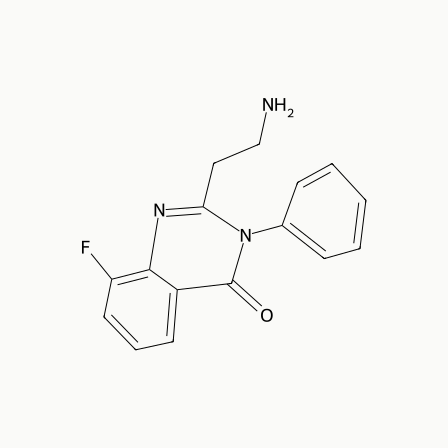 NCCc1nc2c(F)cccc2c(=O)n1-c1ccccc1